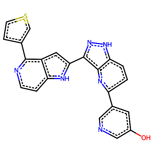 Oc1cncc(-c2ccc3[nH]nc(-c4cc5c(-c6ccsc6)nccc5[nH]4)c3n2)c1